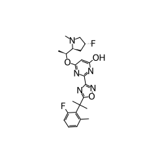 Cc1cccc(F)c1C(C)(C)c1nc(-c2nc(O)cc(O[C@@H](C)[C@@H]3C[C@@H](F)CN3C)n2)no1